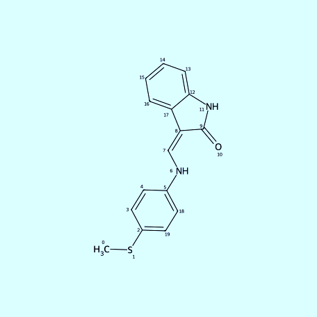 CSc1ccc(N/C=C2\C(=O)Nc3ccccc32)cc1